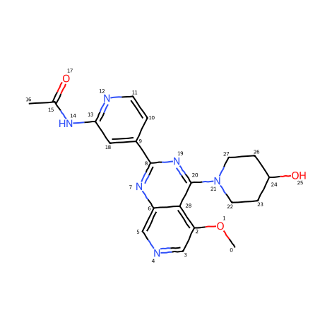 COc1cncc2nc(-c3ccnc(NC(C)=O)c3)nc(N3CCC(O)CC3)c12